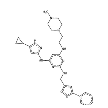 CN1CCN(CCNc2cc(Nc3cc(C4CC4)[nH]n3)nc(NCc3cc(-c4ccccc4)no3)n2)CC1